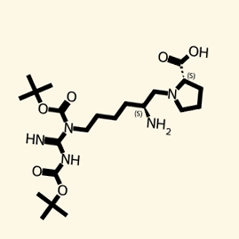 CC(C)(C)OC(=O)NC(=N)N(CCCC[C@H](N)CN1CCC[C@H]1C(=O)O)C(=O)OC(C)(C)C